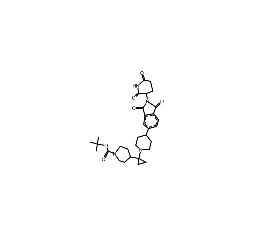 CC(C)(C)OC(=O)N1CCC(C2(N3CCC(c4ccc5c(c4)C(=O)N(C4CCC(=O)NC4=O)C5=O)CC3)CC2)CC1